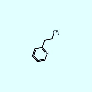 FC(F)(F)CCC1=NC=C=C=C1